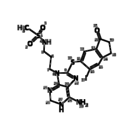 CS(=O)(=O)NCCCn1c(Sc2cc3c(cc2I)CCC3=O)nc2c1=NCNC=2N